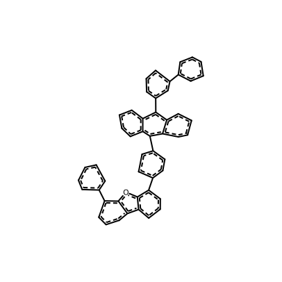 c1ccc(-c2cccc(-c3c4ccccc4c(-c4ccc(-c5cccc6c5oc5c(-c7ccccc7)cccc56)cc4)c4ccccc34)c2)cc1